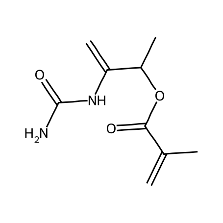 C=C(C)C(=O)OC(C)C(=C)NC(N)=O